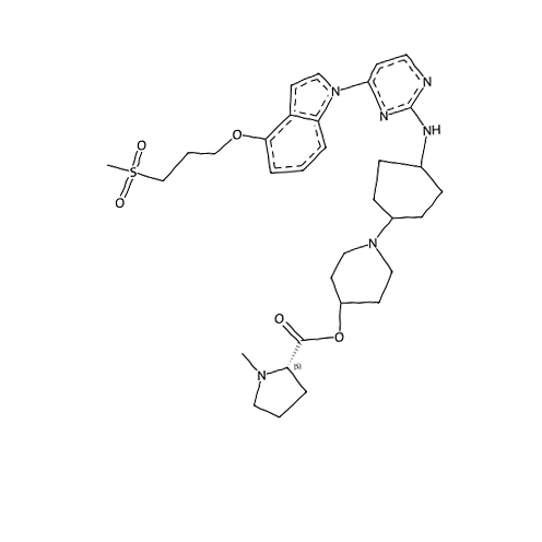 CN1CCC[C@H]1C(=O)OC1CCN(C2CCC(Nc3nccc(-n4ccc5c(OCCCS(C)(=O)=O)cccc54)n3)CC2)CC1